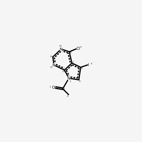 CC(=O)n1cc(I)c2c(Cl)ncnc21